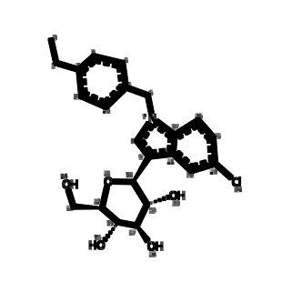 CCc1ccc(Cn2cc([C@@H]3O[C@H](CO)[C@@H](O)[C@H](O)[C@H]3O)c3cc(Cl)ccc32)cc1